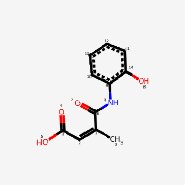 C/C(=C/C(=O)O)C(=O)Nc1ccccc1O